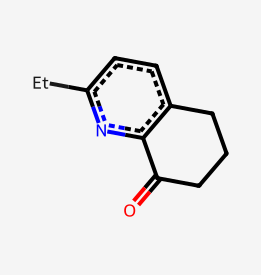 CCc1ccc2c(n1)C(=O)CCC2